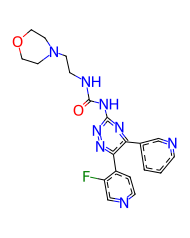 O=C(NCCN1CCOCC1)Nc1nnc(-c2ccncc2F)c(-c2cccnc2)n1